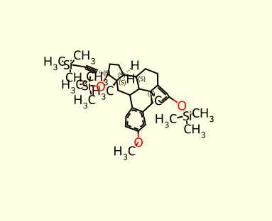 COc1ccc2c(c1)C[C@]13CC=C(O[Si](C)(C)C)C=C1CC[C@@H]1C3C2C[C@@]2(C)[C@H]1CC[C@]2(C#C[Si](C)(C)C)O[Si](C)(C)C